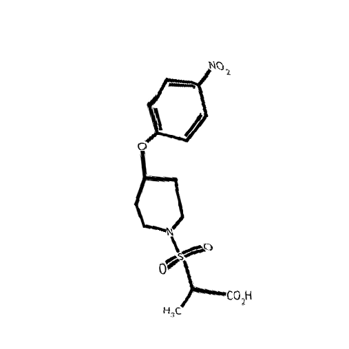 CC(C(=O)O)S(=O)(=O)N1CCC(Oc2ccc([N+](=O)[O-])cc2)CC1